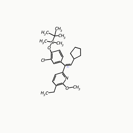 CCc1ccc(/C(=C/C2CCCC2)c2ccc(O[Si](C)(C)C(C)(C)C)c(Cl)c2)nc1OC